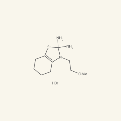 Br.COCCN1C2=C(CCCC2)SC1(N)N